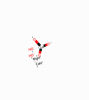 [CaH+].[MgH+].[OH-].[OH-].[O]=[La](=[O])=[O]